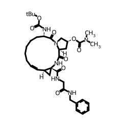 CN(C)C(=O)O[C@@H]1C[C@H]2C(=O)N[C@]3(C(=O)NCC(=O)NCc4ccccc4)C[C@H]3/C=C\CCCCC[C@H](NC(=O)OC(C)(C)C)C(=O)N2C1